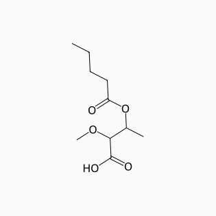 CCCCC(=O)OC(C)C(OC)C(=O)O